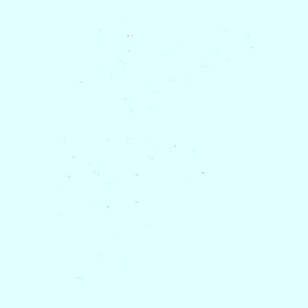 CC1(C)c2cc(Oc3ccccc3)ccc2-c2cc3c4c(c21)N(c1ccccc1)c1ccccc1B4c1cc2c(cc1N3c1ccccc1)Oc1c3c(cc4cc(Oc5ccccc5)ccc14)N(c1ccccc1)c1ccccc1B23